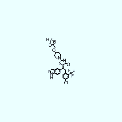 COC(=O)COC1CCN(C2=NC(=O)C(=C(Cc3ccc(Cl)cc3C(F)(F)F)c3ccc4[nH]ncc4c3)S2)CC1